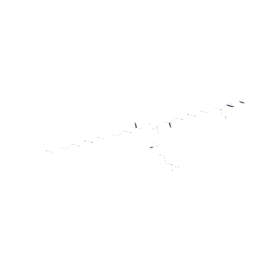 CCCCCCCCCCCCCCCC(=O)OC[C@H](COP(=O)([O-])OCC[N+](C)(C)C)OC(=O)CCCCCCCC(O)/C=C/C=O